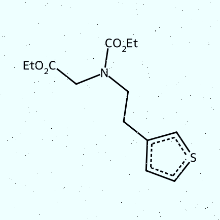 CCOC(=O)CN(CCc1ccsc1)C(=O)OCC